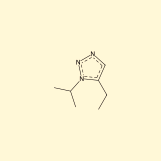 CCc1cnnn1C(C)C